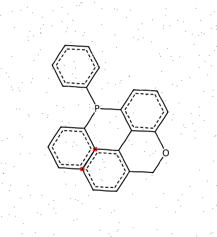 c1ccc(P(c2ccccc2)c2cccc3c2-c2ccccc2CO3)cc1